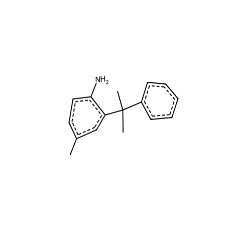 Cc1ccc(N)c(C(C)(C)c2ccccc2)c1